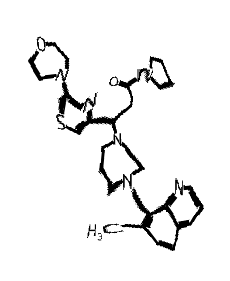 Cc1ccc2cccnc2c1N1CCCN(C(CC(=O)N2CCCC2)c2csc(N3CCOCC3)n2)CC1